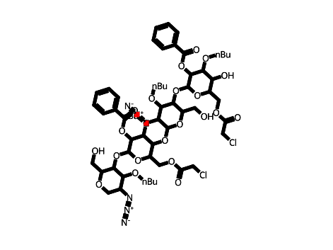 CCCCOC1C(N=[N+]=[N-])COC(CO)C1OC1OC(COC(=O)CCl)C(OC2OC(CO)C(OC3OC(COC(=O)CCl)C(O)C(OCCCC)C3OC(=O)c3ccccc3)C(OCCCC)C2N=[N+]=[N-])C(OCCCC)C1OC(=O)c1ccccc1